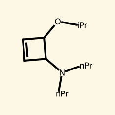 CCCN(CCC)C1C=CC1OC(C)C